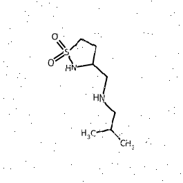 CC(C)CNCC1CCS(=O)(=O)N1